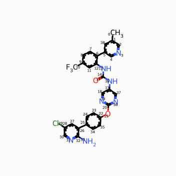 Cc1cncc(-c2ccc(C(F)(F)F)cc2NC(=O)Nc2cnc(Oc3ccc(-c4cc(Cl)cnc4N)cc3)nc2)c1